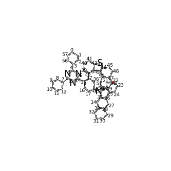 c1ccc(-c2nc(-c3ccccc3)nc(-c3ccc(-n4c5ccccc5c5cc6ccccc6cc54)cc3-c3cccc4sc5ccc6ccccc6c5c34)n2)cc1